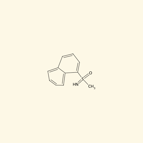 CS(=N)(=O)c1cccc2ccccc12